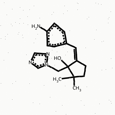 CC1(C)CCC(=Cc2ccc(N)cc2)C1(O)Cn1cncn1